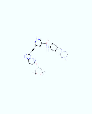 CN1CCN(Cc2ccc(NC(=O)c3cncc(C#Cc4cnc5ccc(OC6CC(C)(C)OC(C)(C)C6)nn45)c3)cc2C(F)(F)F)CC1